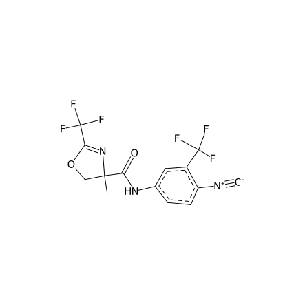 [C-]#[N+]c1ccc(NC(=O)C2(C)COC(C(F)(F)F)=N2)cc1C(F)(F)F